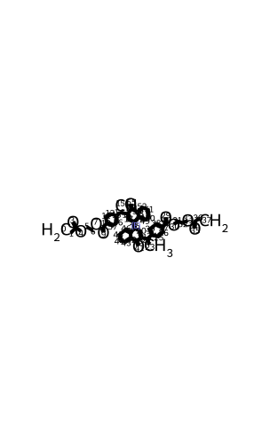 C=CC(=O)OCCOC(=O)c1ccc(C(C)C2=C/C(=C3/C=C(C(C)c4ccc(C(=O)OCCOC(=O)C=C)cc4)C(=O)c4ccccc43)c3ccccc3C2=O)cc1